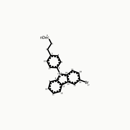 CCCCCCCCCCCCc1ccc(-n2c3ccccc3c3cc(Br)ccc32)cc1